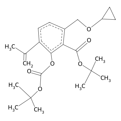 C=C(C)c1ccc(COC2CC2)c(C(=O)OC(C)(C)C)c1OC(=O)OC(C)(C)C